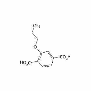 O=C(O)c1ccc(C(=O)O)c(OCCO)c1